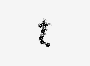 CCc1nc2c(cnn2CC)c(NC2CCOCC2)c1CNC(=O)c1cccc(C(=O)NCc2ccc(F)c(-c3cccc(CNc4cccnc4)c3)c2)c1